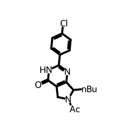 CCCCC1c2nc(-c3ccc(Cl)cc3)[nH]c(=O)c2CN1C(C)=O